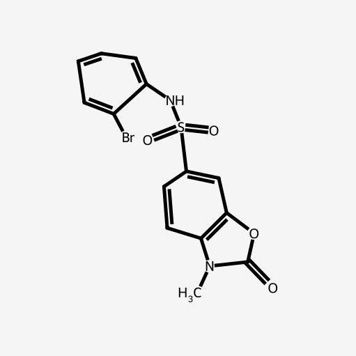 Cn1c(=O)oc2cc(S(=O)(=O)Nc3ccccc3Br)ccc21